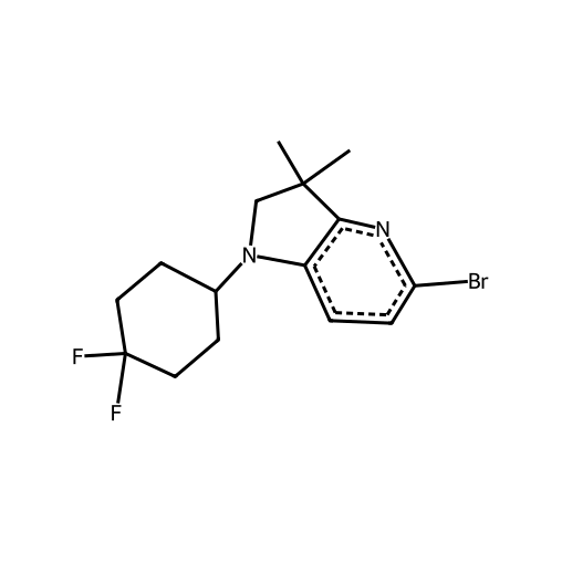 CC1(C)CN(C2CCC(F)(F)CC2)c2ccc(Br)nc21